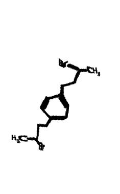 CC(Br)CCc1ccc(CCC(C)Br)cc1